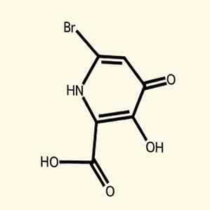 O=C(O)c1[nH]c(Br)cc(=O)c1O